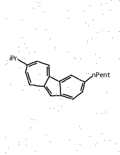 CCCCCc1ccc2cc3ccc(C(C)C)ccc-3c2c1